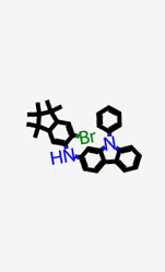 CC1(C)C2C=C(Br)C(Nc3ccc4c5ccccc5n(-c5ccccc5)c4c3)=CC2C(C)(C)C1(C)C